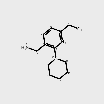 NCc1ccc(CCl)nc1N1CCCCC1